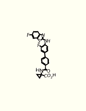 O=C(NC1(C(=O)O)CC1)c1ccc(-c2ccc(Nc3nc4ccc(F)cc4s3)c(F)c2)cc1